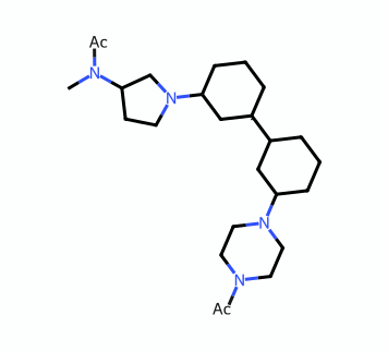 CC(=O)N1CCN(C2CCCC([C]3CCCC(N4CCC(N(C)C(C)=O)C4)C3)C2)CC1